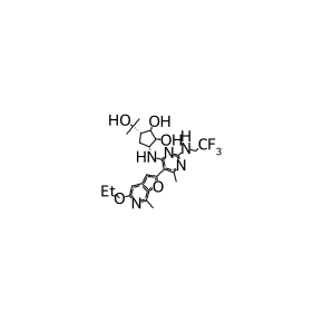 CCOc1cc2cc(-c3c(C)nc(NCC(F)(F)F)nc3N[C@@H]3C[C@H](C(C)(C)O)[C@@H](O)[C@H]3O)oc2c(C)n1